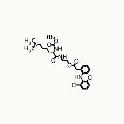 CN(C)CCCC[C@H](NC(=O)OC(C)(C)C)C(=O)NCCOC(=O)Cc1ccccc1Nc1c(Cl)cccc1Cl